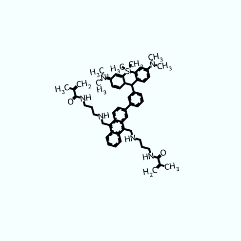 C=C(C)C(=O)NCCCNCc1c2ccccc2c(CNCCCNC(=O)C(=C)C)c2cc(-c3cccc(C4c5ccc(N(C)C)cc5[Si](C)(C)C5=CC(=[N+](C)C)C=CC54)c3)ccc12